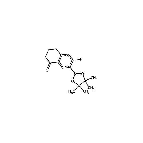 CC1(C)OB(c2cc3c(cc2F)CCCC3=O)OC1(C)C